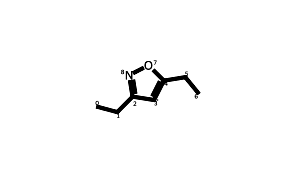 CCc1[c]c(CC)on1